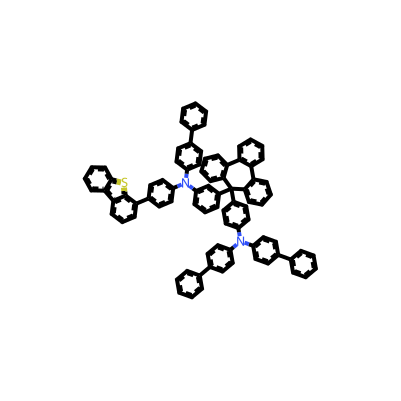 c1ccc(-c2ccc(N(c3ccc(-c4ccccc4)cc3)c3ccc(C4(c5cccc(N(c6ccc(-c7ccccc7)cc6)c6ccc(-c7cccc8c7sc7ccccc78)cc6)c5)c5ccccc5-c5ccccc5-c5ccccc54)cc3)cc2)cc1